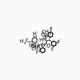 CC[C@H]1CNC[C@H](CCc2c(F)cccc2NC(=O)[C@@H](NC(=O)OC)[C@@H](c2ccc(F)cc2)c2cc(F)cc(F)c2)N1S(C)(=O)=O